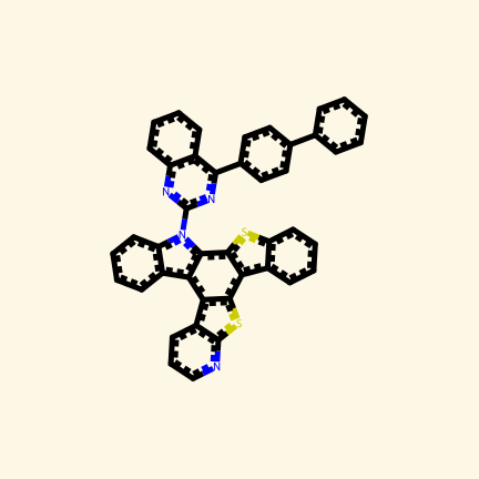 c1ccc(-c2ccc(-c3nc(-n4c5ccccc5c5c6c7cccnc7sc6c6c7ccccc7sc6c54)nc4ccccc34)cc2)cc1